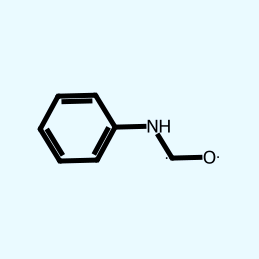 [O][CH]Nc1ccccc1